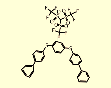 O=S(=O)(C(S(=O)(=O)C(F)(F)F)S(=O)(=O)C(F)(F)F)C(F)(F)F.c1ccc(-c2ccc(Sc3ccc(Sc4ccc(-c5ccccc5)cc4)cc3)cc2)cc1